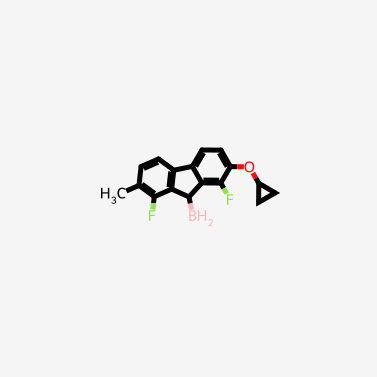 BC1c2c(ccc(C)c2F)-c2ccc(OC3CC3)c(F)c21